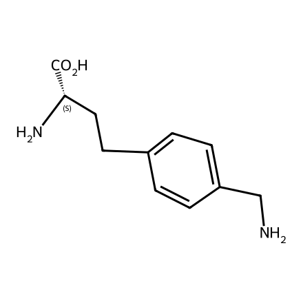 NCc1ccc(CC[C@H](N)C(=O)O)cc1